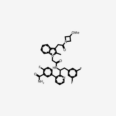 COC1CN(C(=O)Cc2c(C)n(CC(=O)NC(Cc3cc(F)cc(F)c3)c3ncccc3-c3ccc(F)c(C(N)=O)c3)c3ccccc23)C1